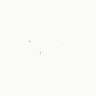 O=C(O)C1CCC(Nc2ccncc2)CC1